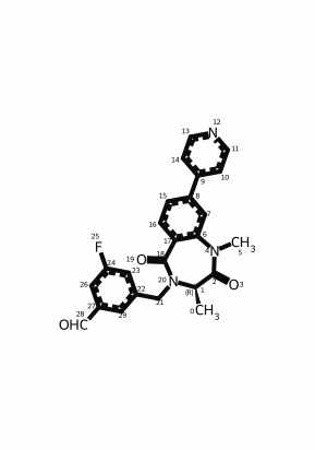 C[C@@H]1C(=O)N(C)c2cc(-c3ccncc3)ccc2C(=O)N1Cc1cc(F)cc(C=O)c1